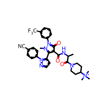 CC(NC(=O)c1c(-c2ccnn2-c2ccc(C#N)cc2)n(C)n(-c2cccc(C(F)(F)F)c2)c1=O)C(=O)N1CCC([N+](C)(C)C)CC1